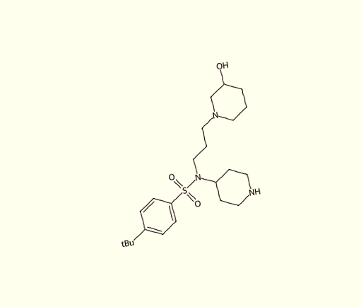 CC(C)(C)c1ccc(S(=O)(=O)N(CCCN2CCCC(O)C2)C2CCNCC2)cc1